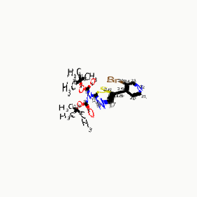 CC(C)(C)OC(=O)N(C(=O)OC(C)(C)C)c1ncc(-c2ccncc2Br)s1